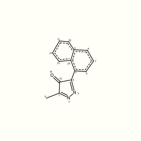 CC1=NN=C(c2cccc3ccccc23)C1=O